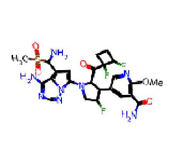 COc1ncc(C2C(F)CN(c3cc(C(N)S(C)(=O)=O)c4c(N)ncnn34)C2C(=O)C2(F)CCC2F)cc1C(N)=O